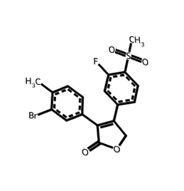 Cc1ccc(C2=C(c3ccc(S(C)(=O)=O)c(F)c3)COC2=O)cc1Br